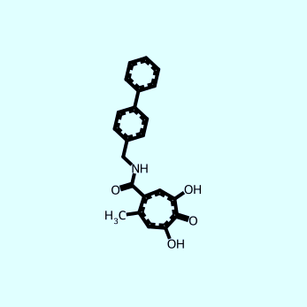 Cc1cc(O)c(=O)c(O)cc1C(=O)NCc1ccc(-c2ccccc2)cc1